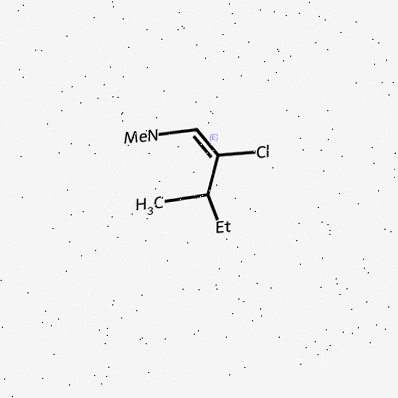 CCC(C)/C(Cl)=C\NC